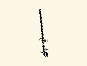 CCC=CCC=CCC=CCC=CCC=CCC=CCCC(=O)NCCOCCNC(=O)c1ccc(C)nc1